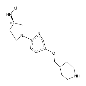 ClN[C@@H]1CCN(c2ccc(OCC3CCNCC3)cn2)C1